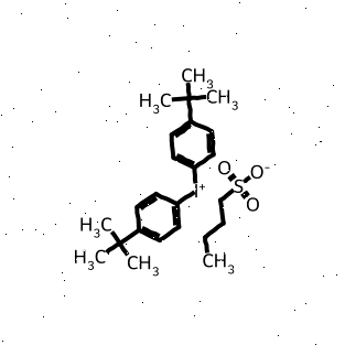 CC(C)(C)c1ccc([I+]c2ccc(C(C)(C)C)cc2)cc1.CCCCS(=O)(=O)[O-]